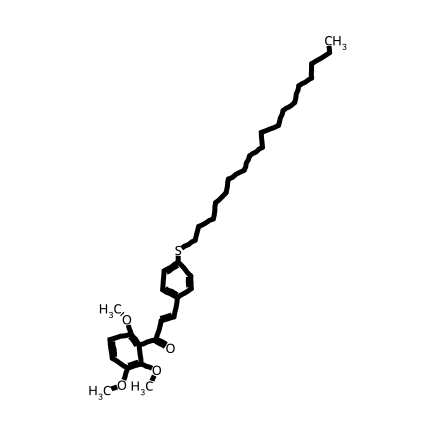 CCCCCCCCCCCCCCCCCCSc1ccc(C=CC(=O)c2c(OC)ccc(OC)c2OC)cc1